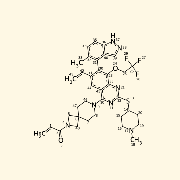 C=CC(=O)N1CC2(CCN(c3nc(SC4CCN(C)CC4)nc4c(OCC(F)(F)F)c(-c5c(C)ccc6[nH]ncc56)c(C=C)cc34)CC2)C1